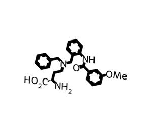 COc1cccc(C(=O)Nc2ccccc2CN(CC[C@H](N)C(=O)O)Cc2ccccc2)c1